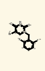 O=c1[nH]c(=O)n(Cc2c(F)cccc2F)cc1Br